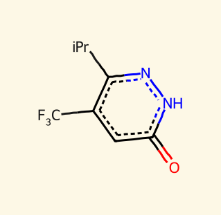 CC(C)c1n[nH]c(=O)cc1C(F)(F)F